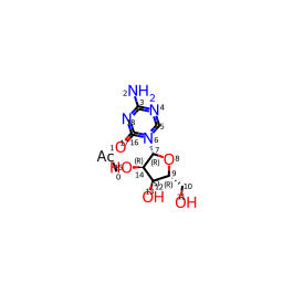 CC(C)=O.Nc1ncn([C@@H]2O[C@H](CO)[C@@H](O)[C@H]2O)c(=O)n1